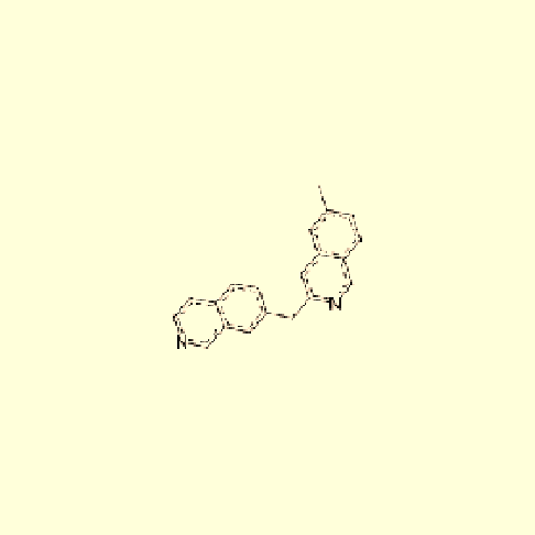 Cc1ccc2cnc(Cc3ccc4ccncc4c3)cc2c1